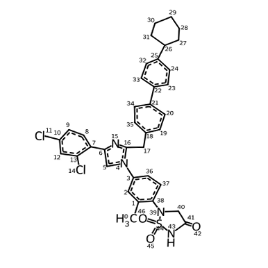 Cc1cc(-n2cc(-c3ccc(Cl)cc3Cl)nc2Cc2ccc(-c3ccc(C4CCCCC4)cc3)cc2)ccc1N1CC(=O)NS1(=O)=O